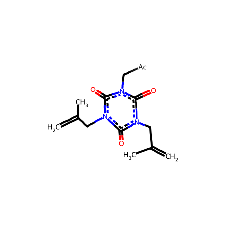 C=C(C)Cn1c(=O)n(CC(=C)C)c(=O)n(CC(C)=O)c1=O